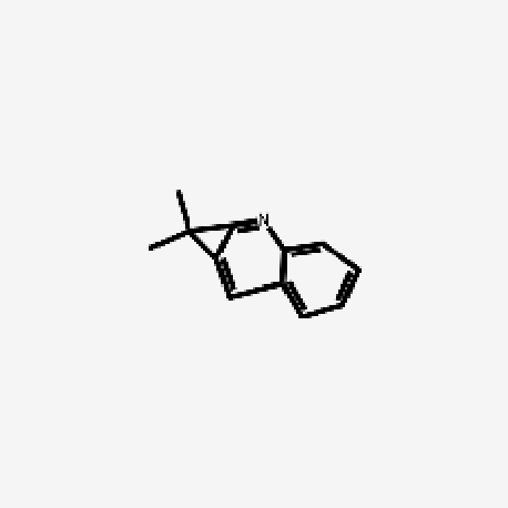 CC1(C)c2cc3ccccc3nc21